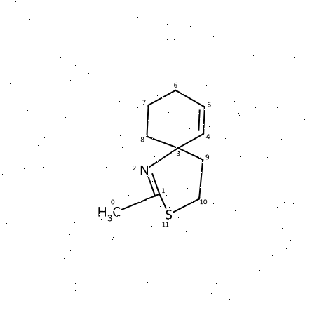 CC1=NC2(C=CCCC2)CCS1